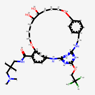 CN(C)CC(C)(C)CNC(=O)c1ccc2cc1OCCCC(O)C(O)CCCOc1ccc(cc1)CNc1nc(nc(OCC(F)(F)F)n1)N2